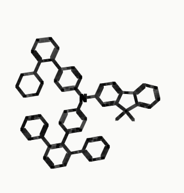 CC1(C)c2ccccc2-c2ccc(N(c3ccc(-c4ccccc4C4CCCCC4)cc3)c3ccc(-c4c(-c5ccccc5)cccc4-c4ccccc4)cc3)cc21